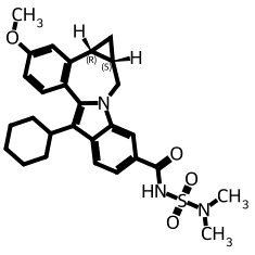 COc1ccc2c(c1)[C@@H]1C[C@@H]1Cn1c-2c(C2CCCCC2)c2ccc(C(=O)NS(=O)(=O)N(C)C)cc21